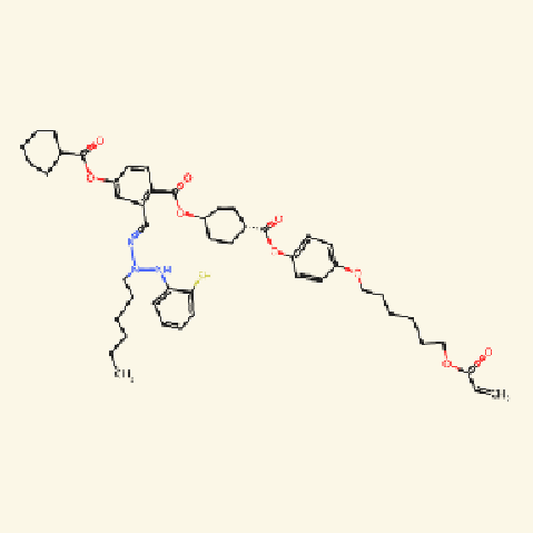 C=CC(=O)OCCCCCCOc1ccc(OC(=O)[C@H]2CC[C@H](OC(=O)c3ccc(OC(=O)C4CCCCC4)cc3/C=N/N(CCCCCC)Nc3ccccc3S)CC2)cc1